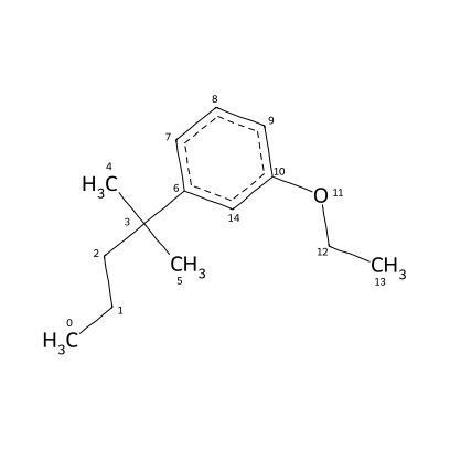 CCCC(C)(C)c1cccc(OCC)c1